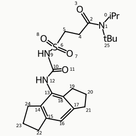 CC(C)N(C(=O)CCS(=O)(=O)NC(=O)Nc1c2c(cc3c1CCC3)CCC2)C(C)(C)C